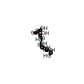 C=C(O)c1cc(C(=O)NCCNC(=O)c2cccc(Nc3nccc(Nc4cc(O)ccc4C)n3)c2)ccc1-c1c2ccc(=O)cc-2oc2cc(O)ccc12